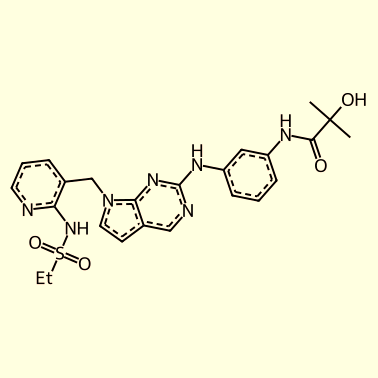 CCS(=O)(=O)Nc1ncccc1Cn1ccc2cnc(Nc3cccc(NC(=O)C(C)(C)O)c3)nc21